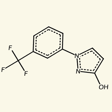 Oc1ccn(-c2cccc(C(F)(F)F)c2)n1